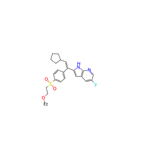 CCOCCS(=O)(=O)c1ccc(C(=CC2CCCC2)c2cc3cc(F)cnc3[nH]2)cc1